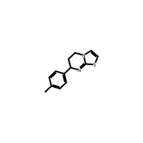 Cc1ccc(C2CCN3C=CSC3=N2)cc1